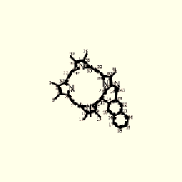 CC1=C(C)c2cc3[nH]c(c(C)c3C)c(-c3cc4ccccc4cc3C#N)c3nc(cc4[nH]c(cc1n2)c(C)c4C)C(C)=C3C